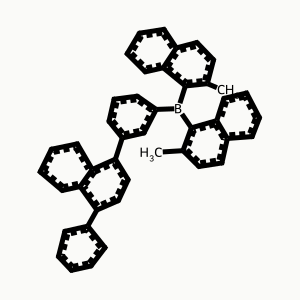 Cc1ccc2ccccc2c1B(c1cccc(-c2ccc(-c3ccccc3)c3ccccc23)c1)c1c(C)ccc2ccccc12